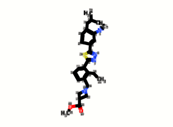 [C-]#[N+]c1cc(-c2nnc(-c3cccc(CN4CC(C(=O)OC)C4)c3CC)s2)ccc1CC(C)C